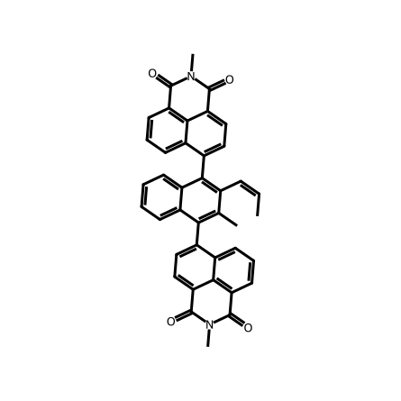 C/C=C\c1c(C)c(-c2ccc3c4c(cccc24)C(=O)N(C)C3=O)c2ccccc2c1-c1ccc2c3c(cccc13)C(=O)N(C)C2=O